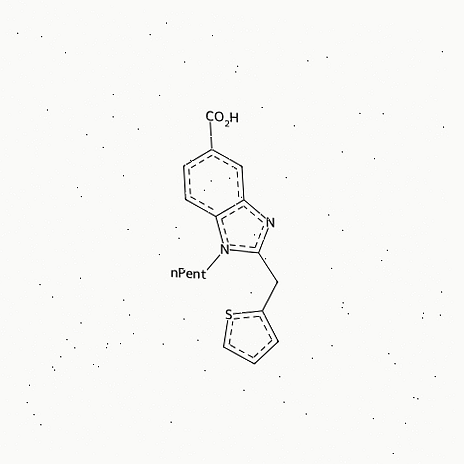 CCCCCn1c(Cc2cccs2)nc2cc(C(=O)O)ccc21